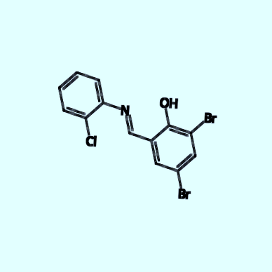 Oc1c(Br)cc(Br)cc1/C=N/c1ccccc1Cl